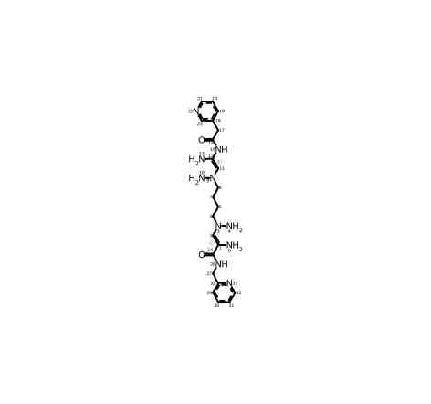 N/C(=C\N(N)CCCCN(N)/C=C(\N)NC(=O)Cc1cccnc1)C(=O)NCc1ccccn1